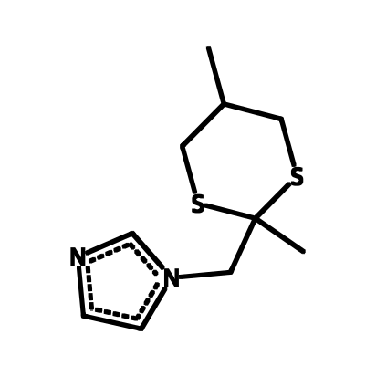 CC1CSC(C)(Cn2ccnc2)SC1